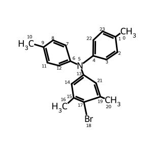 Cc1ccc(N(c2ccc(C)cc2)c2cc(C)c(Br)c(C)c2)cc1